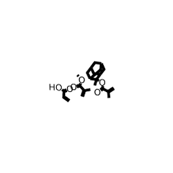 C=C(C)C(=O)OC.C=C(C)C(=O)OC1(C)C2CC3CC(C2)CC1C3.C=CC(=O)O